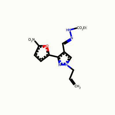 C=CCn1cc(C=NNC(=O)OCC)c(-c2ccc([N+](=O)[O-])o2)n1